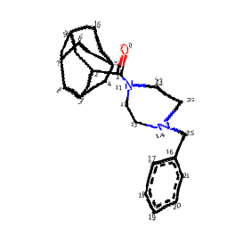 O=C(C1C2CC3CC(C2)C1C3)N1CCN(Cc2ccccc2)CC1